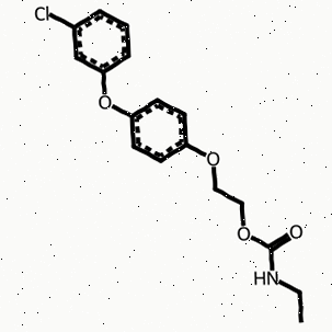 CCNC(=O)OCCOc1ccc(Oc2cccc(Cl)c2)cc1